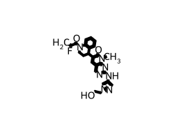 C=C(F)C(=O)N1CCC(c2cc3cnc(Nc4cnn(CCO)c4)nc3n(C)c2=O)c2ccccc21